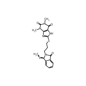 C=S=C1c2ccccc2C(=O)N1CCCSc1nc2c([nH]1)c(=O)n(C)c(=O)n2C